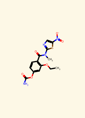 CCOc1cc(OC(N)=O)ccc1C(=O)N(C)c1ncc([N+](=O)[O-])s1